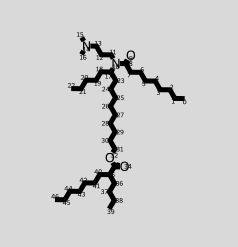 CCCCCCCCC(=O)N(CCCN(C)C)C(CCCCC)CCCCCCCCCOC(=O)C(CCCC)CCCCCCC